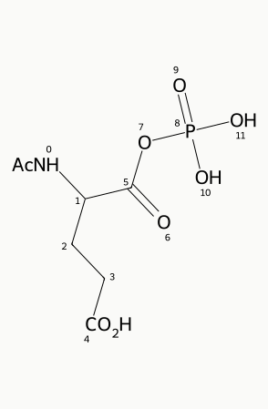 CC(=O)NC(CCC(=O)O)C(=O)OP(=O)(O)O